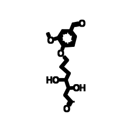 COc1cc(C=O)ccc1OCCCC(O)C(O)C[C]=O